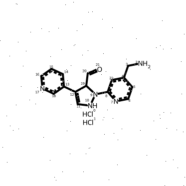 Cl.Cl.NCc1ccnc(N2NC=C(c3cccnc3)C2C=O)c1